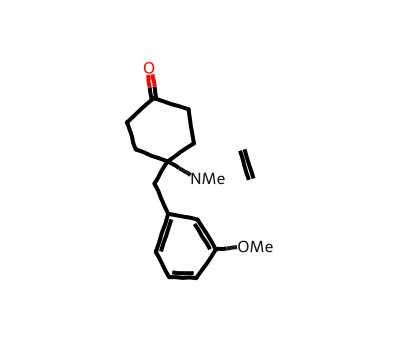 C=C.CNC1(Cc2cccc(OC)c2)CCC(=O)CC1